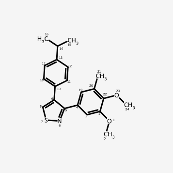 COc1cc(-c2nscc2-c2ccc(C(C)C)cc2)cc(C)c1OC